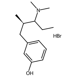 Br.CCC([C@H](C)Cc1cccc(O)c1)N(C)C